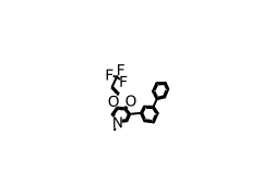 Cn1cc(OC=CC(F)(F)F)c(=O)c(-c2cccc(-c3ccccc3)c2)c1